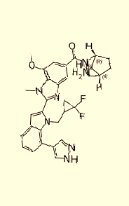 COc1cc(C(=O)N2C[C@H]3CC[C@@H]2[C@@H]3N)cc2nc(-c3cc4cccc(-c5cn[nH]c5)c4n3CC3CC3(F)F)n(C)c12